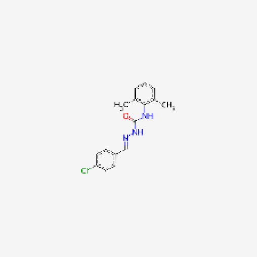 Cc1cccc(C)c1NC(=O)N/N=C/c1ccc(Cl)cc1